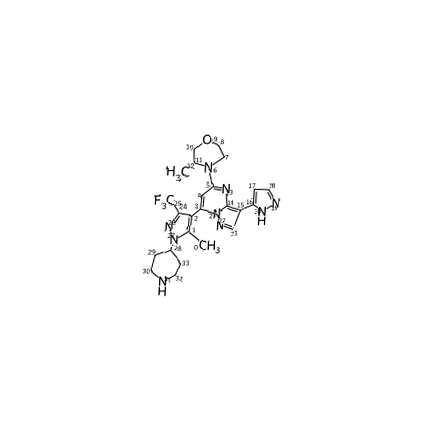 Cc1c(-c2cc(N3CCOC[C@H]3C)nc3c(-c4ccn[nH]4)cnn23)c(C(F)(F)F)nn1C1CCNCC1